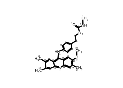 CNC(=O)OCCc1ccc(Nc2c3cc(C)c(C)cc3nc3cc(C)c(OC)cc23)cc1